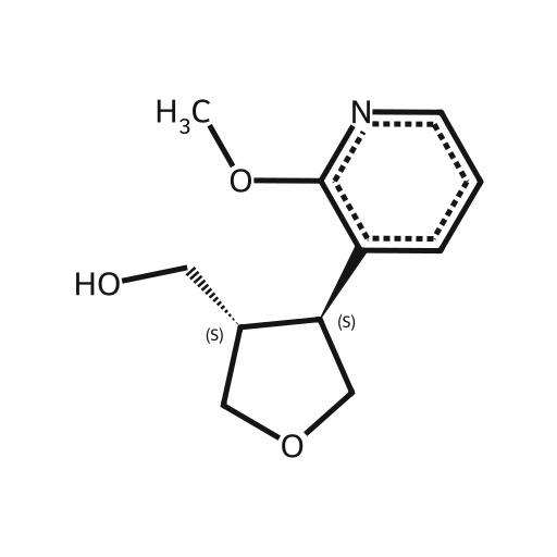 COc1ncccc1[C@H]1COC[C@@H]1CO